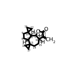 C=C1C(=O)O[C@@H]2[C@@H]3[C@@H](CCC34CC4)C3(CC[C@@H]12)CC3